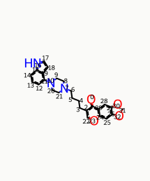 O=c1c(CCCCN2CCN(c3cccc4[nH]ccc34)CC2)coc2cc3c(cc12)OCO3